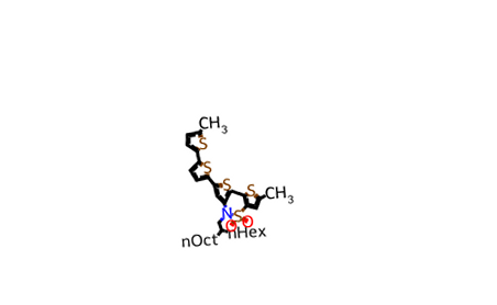 CCCCCCCCC(CCCCCC)CN1c2cc(-c3ccc(-c4ccc(C)s4)s3)sc2-c2sc(C)cc2S1(=O)=O